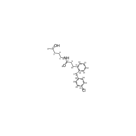 CC(O)CCCNC(=O)CCc1ccccc1Sc1ccc(Cl)cc1